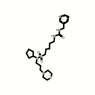 O=C(NCCCCCS(=O)(=O)N(CCCN1CCOCC1)C1CCCC1)NCc1cccnc1